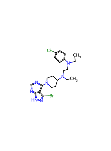 CCN(CCN(CC)C1CCN(c2ncnc3[nH]nc(Br)c23)CC1)c1ccc(Cl)cc1